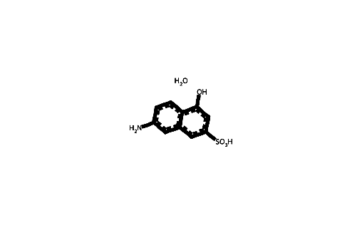 Nc1ccc2c(O)cc(S(=O)(=O)O)cc2c1.O